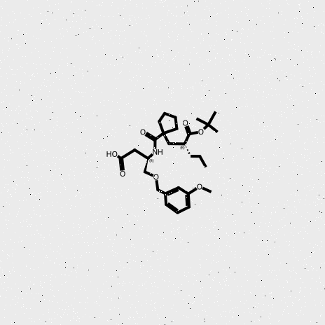 CCC[C@H](CC1(C(=O)N[C@@H](COCc2cccc(OC)c2)CC(=O)O)CCCC1)C(=O)OC(C)(C)C